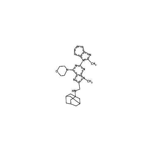 Cc1nc2ccccc2n1-c1nc(N2CCOCC2)c2nc(CNC34CC5CC(CC(C5)C3)C4)n(C)c2n1